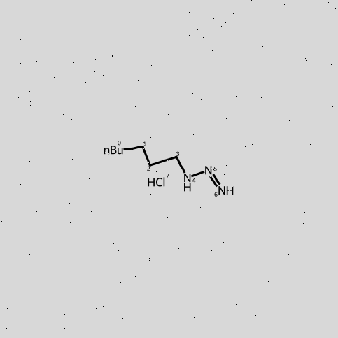 CCCCCCCNN=N.Cl